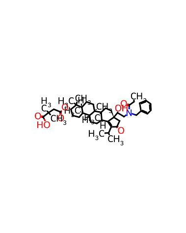 CCC(=O)N(Cc1ccccc1)C[C@H](O)[C@@]12CC[C@]3(C)[C@H](CC[C@@H]4[C@@]5(C)CC[C@H](OC(=O)CC(C)(C)C(=O)O)C(C)(C)[C@@H]5CC[C@]43C)C1=C(C(C)C)C(=O)C2